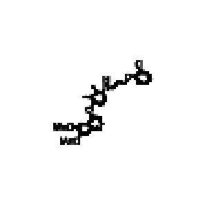 COc1cc2nccc(Oc3ccc(NCCCOc4ccccc4Cl)c(C)c3C)c2cc1OC